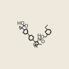 CCc1cccc(COC(=O)Nc2c(C)noc2-c2ccc(-c3ccc(C4(C(=O)O)CC4)cc3)cc2)c1